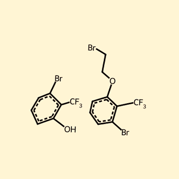 FC(F)(F)c1c(Br)cccc1OCCBr.Oc1cccc(Br)c1C(F)(F)F